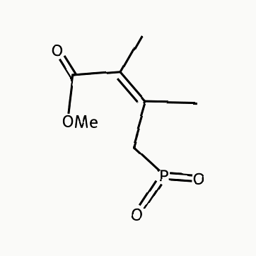 COC(=O)C(C)=C(C)CP(=O)=O